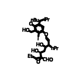 CCCCOc1c(CC(C)C)cc(O/C=C/C(CCC)C(O)C[C@H](O)C2(C=O)OC2CC)c(I)c1CO